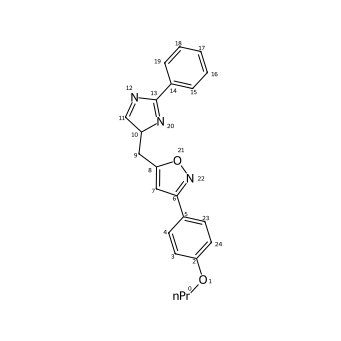 CCCOc1ccc(-c2cc(CC3C=NC(c4ccccc4)=N3)on2)cc1